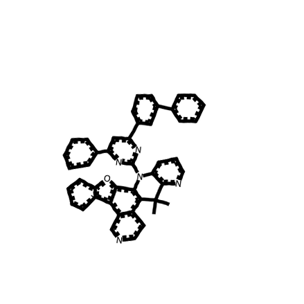 CC1(C)c2ncccc2N(c2nc(-c3ccccc3)cc(-c3cccc(-c4ccccc4)c3)n2)c2c1c1ccncc1c1c2oc2ccccc21